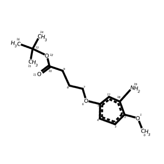 COc1ccc(OCCCC(=O)OC(C)(C)C)cc1N